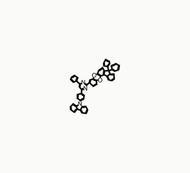 c1ccc(-c2cc(-c3ccc(-n4c5ccccc5c5ccccc54)cc3)nc(-c3ccc4c(c3)Oc3ccc5c(c3O4)-c3ccccc3C5(c3ccccc3)c3ccccc3)n2)cc1